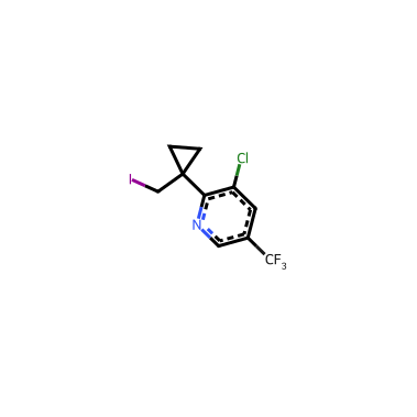 FC(F)(F)c1cnc(C2(CI)CC2)c(Cl)c1